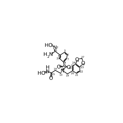 N/C(=N\O)c1cccc(S(=O)(=O)N(CCC(=O)NO)Cc2ccc3c(c2)OCO3)c1